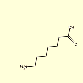 NCCCCCCC(=O)O